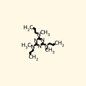 C=CCN(C)c1nc(N(C)CC=C)nc(N(C)CC=C)n1